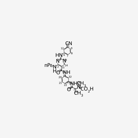 CCCNc1nc(Nc2cccc(C#N)c2)ncc1C(=O)Nc1cccc(NC(=O)C(C)N(C)C(=O)O)c1